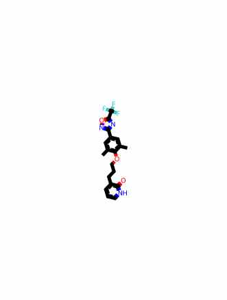 Cc1cc(-c2noc(C(F)(F)F)n2)cc(C)c1OCCCc1ccc[nH]c1=O